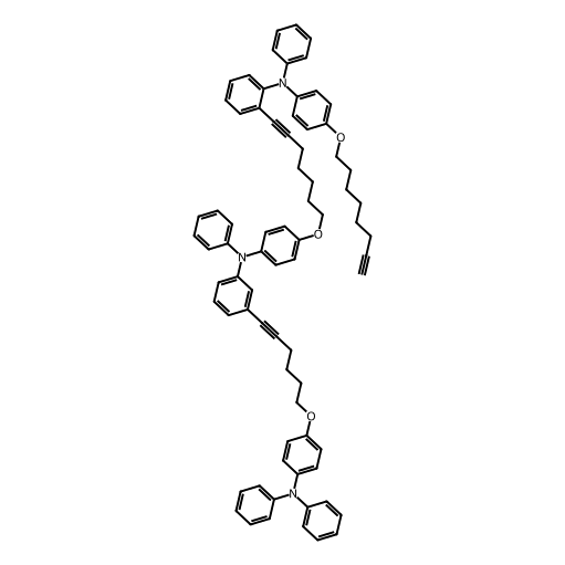 C#CCCCCCCOc1ccc(N(c2ccccc2)c2ccccc2C#CCCCCCOc2ccc(N(c3ccccc3)c3cccc(C#CCCCCOc4ccc(N(c5ccccc5)c5ccccc5)cc4)c3)cc2)cc1